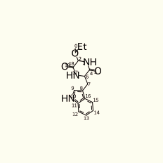 CCOC1NC(=O)C(Cc2c[nH]c3ccccc23)NC1=O